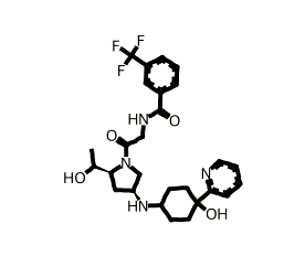 CC(O)[C@@H]1C[C@H](NC2CCC(O)(c3ccccn3)CC2)CN1C(=O)CNC(=O)c1cccc(C(F)(F)F)c1